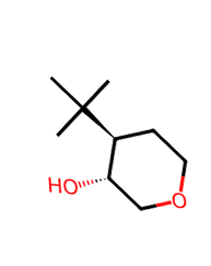 CC(C)(C)[C@H]1CCOC[C@@H]1O